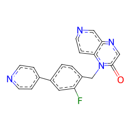 O=c1cnc2cnccc2n1Cc1ccc(-c2ccncc2)cc1F